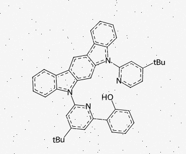 CC(C)(C)c1ccnc(-n2c3ccccc3c3cc4c5ccccc5n(-c5cc(C(C)(C)C)cc(-c6ccccc6O)n5)c4cc32)c1